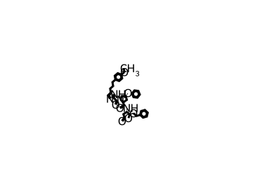 COc1ccc(CCCc2cnc(C(=O)N3C[C@H](Oc4ccccc4)CC3C(=O)N[C@H]3CC(=O)O[C@@H]3OCc3ccccc3)[nH]2)cc1